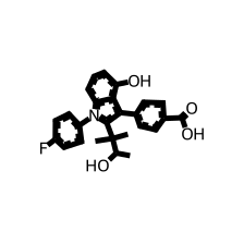 CC(O)C(C)(C)c1c(-c2ccc(C(=O)O)cc2)c2c(O)cccc2n1-c1ccc(F)cc1